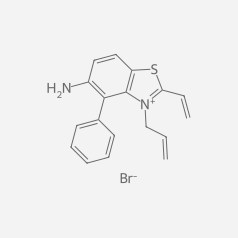 C=CC[n+]1c(C=C)sc2ccc(N)c(-c3ccccc3)c21.[Br-]